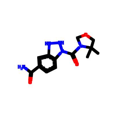 CC1(C)COCN1C(=O)N1NNc2cc(C(N)=O)ccc21